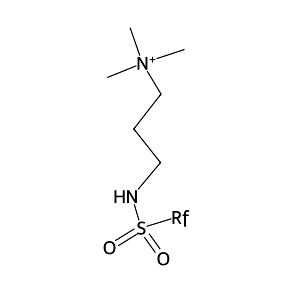 C[N+](C)(C)CCCN[S](=O)(=O)[Rf]